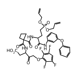 C=CCOP(=O)(CCC(NC(=O)C1(C(=O)NC(CC(=O)O)C(=O)COc2c(F)c(F)cc(F)c2F)CCC1)C(=O)Nc1cccc(Oc2ccccc2)c1)OCC=C